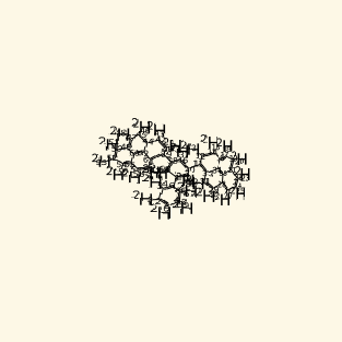 [2H]c1c([2H])c([2H])c(-c2c([2H])c(-c3c([2H])c([2H])c4c([2H])c([2H])c5c([2H])c([2H])c([2H])c6c([2H])c([2H])c3c4c56)c([2H])c(-c3c([2H])c([2H])c4c([2H])c([2H])c5c([2H])c([2H])c([2H])c6c([2H])c([2H])c3c4c56)c2[2H])c([2H])c1[2H]